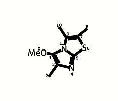 COc1c(C)nc2sc(C)c(C)n12